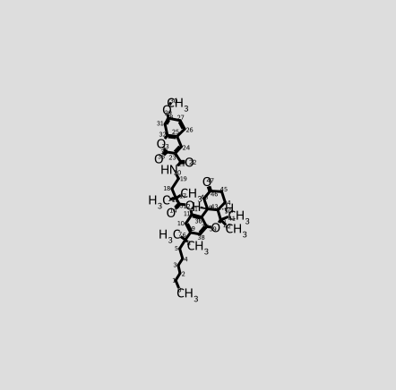 CCCCCCC(C)(C)c1cc(OC(=O)C(C)(C)CCNC(=O)c2cc3ccc(OC)cc3oc2=O)c2c(c1)OC(C)(C)[C@@H]1CCC(=O)C[C@@H]21